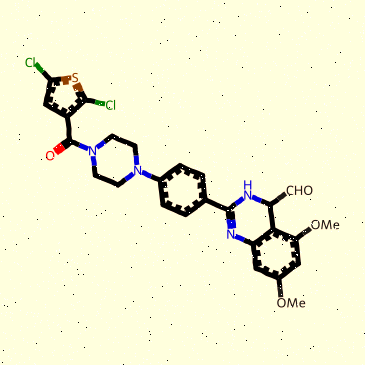 COc1cc2c(c(OC)c1)C(C=O)NC(c1ccc(N3CCN(C(=O)c4cc(Cl)sc4Cl)CC3)cc1)=N2